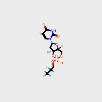 O=c1[nH]c(=O)n([C@H]2C[C@@H]3O[PH](O)(OCC(F)(F)C(F)(F)F)OC[C@H]3O2)cc1F